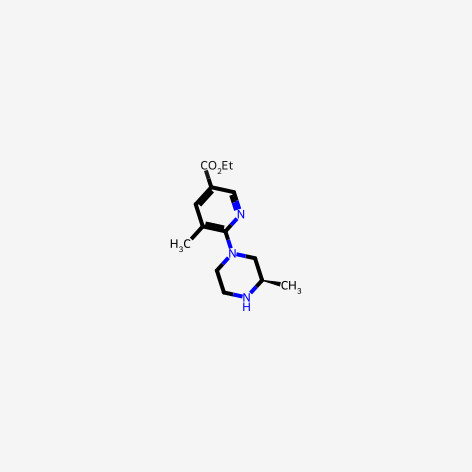 CCOC(=O)c1cnc(N2CCN[C@H](C)C2)c(C)c1